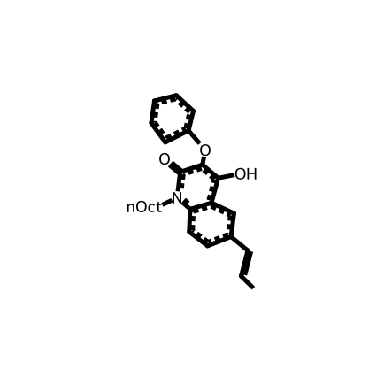 CC=Cc1ccc2c(c1)c(O)c(Oc1ccccc1)c(=O)n2CCCCCCCC